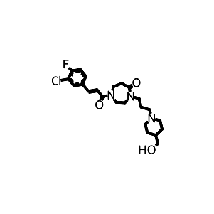 O=C(C=Cc1ccc(F)c(Cl)c1)N1CCC(=O)N(CCCN2CCC(CO)CC2)CC1